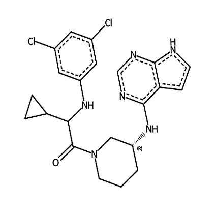 O=C(C(Nc1cc(Cl)cc(Cl)c1)C1CC1)N1CCC[C@@H](Nc2ncnc3[nH]ccc23)C1